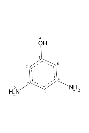 Nc1[c]c(O)cc(N)c1